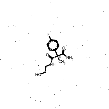 C[C@@](C(N)=O)(C(=O)NCCO)c1ccc(F)cc1